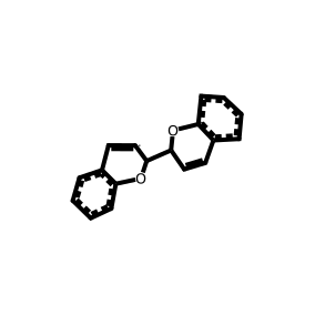 [C]1=Cc2ccccc2OC1C1C=Cc2ccccc2O1